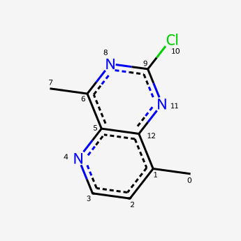 Cc1ccnc2c(C)nc(Cl)nc12